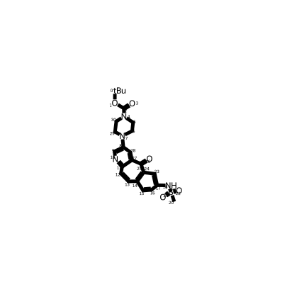 CC(C)(C)OC(=O)N1CCN(c2cnc3ccc4ccc(NS(C)(=O)=O)cc4c(=O)c3c2)CC1